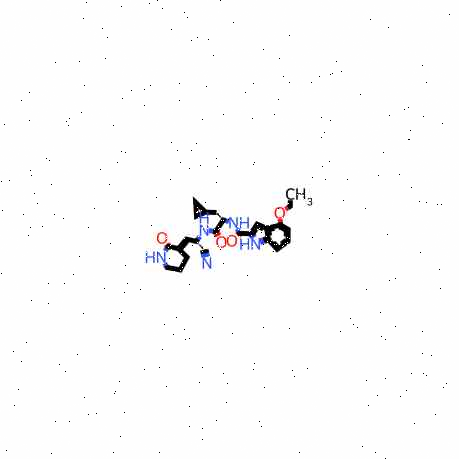 CCOc1cccc2[nH]c(C(=O)N[C@@H](CC3CC3)C(=O)N[C@H](C#N)/C=C3\CCCNC3=O)cc12